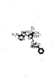 CC1(C)[C@]2(O)[C@H](n3cnc4c(N)ncnc43)O[C@H](COS(=O)(=O)NC(=O)c3ccccc3)[C@]12O